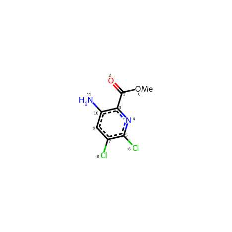 COC(=O)c1nc(Cl)c(Cl)cc1N